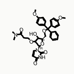 COc1ccc(C(OC[C@H]2O[C@@H](n3ccc(=O)[nH]c3=O)C(OCCC(=O)N(C)C)C2O)(c2ccccc2)c2ccc(OC)cc2)cc1